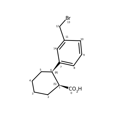 O=C(O)[C@H]1CCCC[C@H]1c1cccc(CBr)c1